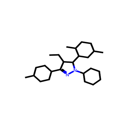 CCC1C(C2CCC(C)CC2)=NN(C2CCCCC2)C1C1CC(C)CCC1C